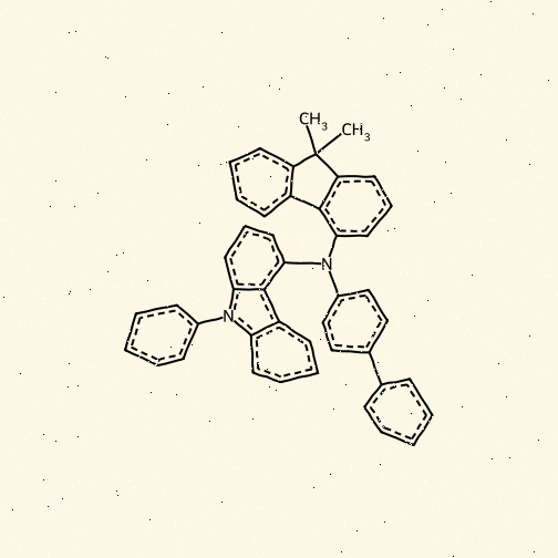 CC1(C)c2ccccc2-c2c(N(c3ccc(-c4ccccc4)cc3)c3cccc4c3c3ccccc3n4-c3ccccc3)cccc21